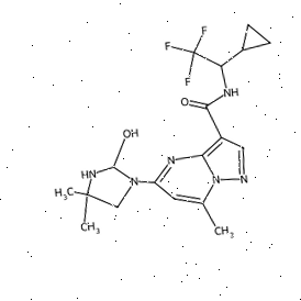 Cc1cc(N2CC(C)(C)NC2O)nc2c(C(=O)NC(C3CC3)C(F)(F)F)cnn12